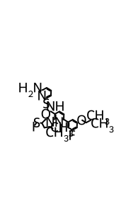 CC(C)COc1cc(F)cc(-c2ccc(C(=O)NSc3cccc(N)n3)c(N3CC(SI)CC3(C)C)n2)c1